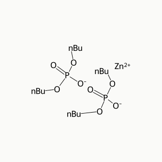 CCCCOP(=O)([O-])OCCCC.CCCCOP(=O)([O-])OCCCC.[Zn+2]